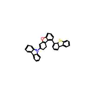 C1=CC2c3ccccc3SC2C(c2cccc3oc4c(c23)CCC(n2c3ccccc3c3ccccc32)=C4)=C1